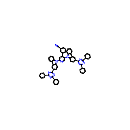 N#Cc1cccc(-c2cc(-n3c4ccccc4c4cc(-c5nc(-c6ccccc6)nc(-c6ccccc6)n5)ccc43)ncc2-n2c3ccccc3c3cc(-c4nc(-c5ccccc5)nc(-c5ccccc5)n4)ccc32)c1